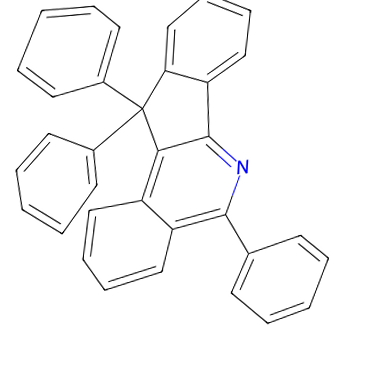 c1ccc(-c2nc3c(c4ccccc24)C(c2ccccc2)(c2ccccc2)c2ccccc2-3)cc1